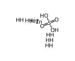 O=S(=O)(O)O.[HH].[HH].[HH].[HH].[HH].[HH].[Zn]